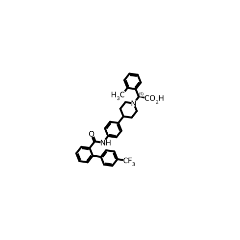 Cc1ccccc1[C@@H](C(=O)O)N1CCC(c2ccc(NC(=O)c3ccccc3-c3ccc(C(F)(F)F)cc3)cc2)CC1